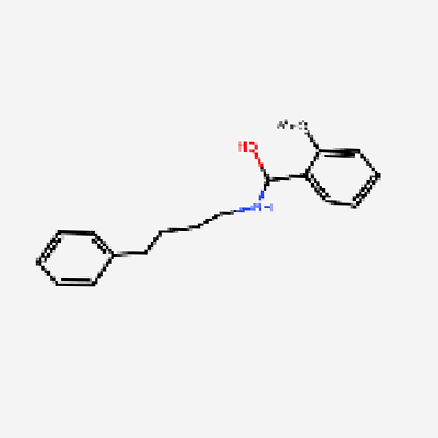 COc1ccccc1C(O)NCCCCc1ccccc1